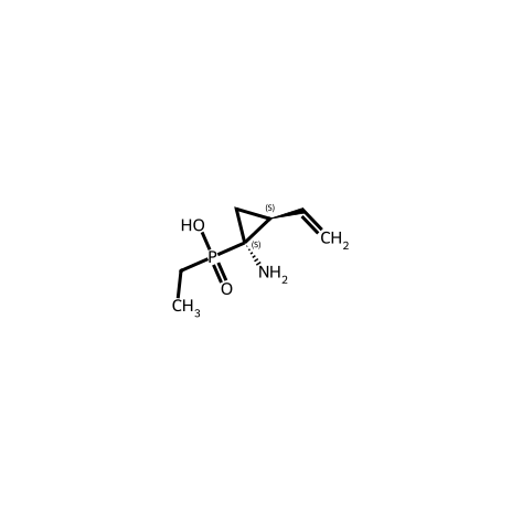 C=C[C@@H]1C[C@]1(N)P(=O)(O)CC